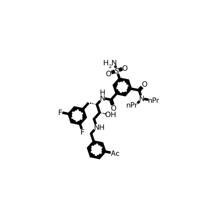 CCCN(CCC)C(=O)c1cc(C(=O)N[C@@H](Cc2cc(F)cc(F)c2)[C@H](O)CNCc2cccc(C(C)=O)c2)cc(S(N)(=O)=O)c1